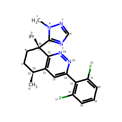 CC(C)[C@]1(c2ncnn2C)CC[C@H](C)c2cc(-c3c(F)cccc3F)nnc21